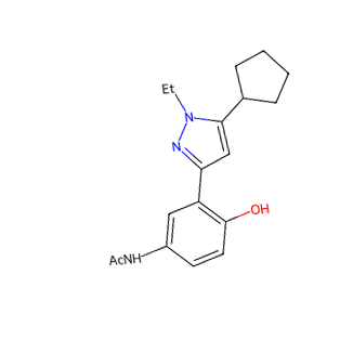 CCn1nc(-c2cc(NC(C)=O)ccc2O)cc1C1CCCC1